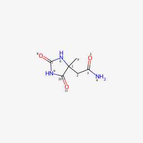 CC1(CC(N)=O)NC(=O)NC1=O